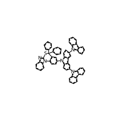 c1ccc(C2(c3ccccc3)Sc3nc4ccccc4n3-c3ccc(-n4c5ccc(-n6c7ccccc7c7ccccc76)cc5c5cc(-n6c7ccccc7c7ccccc76)ccc54)cc32)cc1